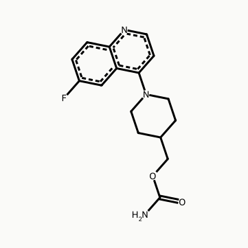 NC(=O)OCC1CCN(c2ccnc3ccc(F)cc23)CC1